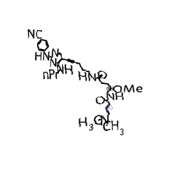 CCCNc1nc(Nc2ccc(C#N)cc2)ncc1C#CCCCNC(=O)CC[C@H](CNC(=O)/C=C/CN(C)C)OC